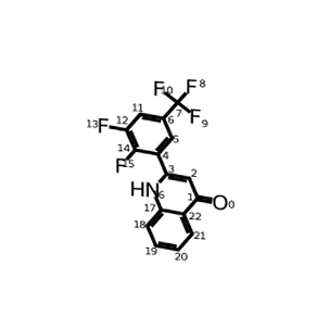 O=c1cc(-c2cc(C(F)(F)F)cc(F)c2F)[nH]c2ccccc12